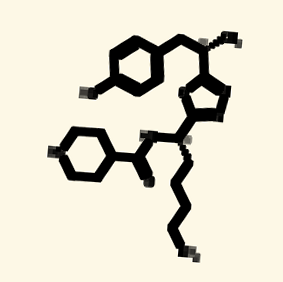 C[C@@H](Cc1ccc(O)cc1)c1nnc([C@H](CCCCN)NC(=O)C2CCNCC2)o1